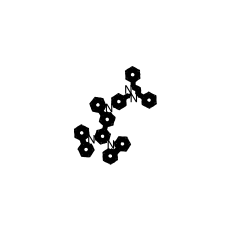 c1ccc(-c2cc(-c3ccccc3)nc(-c3ccc(-n4c5ccccc5c5cc(-c6cc(-n7c8ccccc8c8ccccc87)cc(-n7c8ccccc8c8ccccc87)c6)ccc54)cc3)n2)cc1